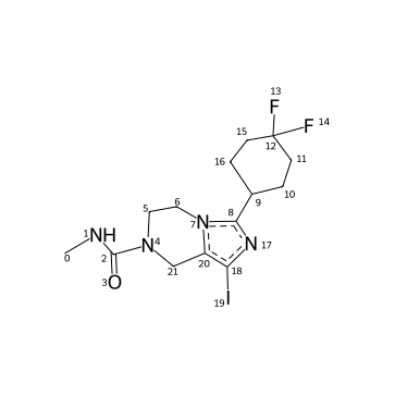 CNC(=O)N1CCn2c(C3CCC(F)(F)CC3)nc(I)c2C1